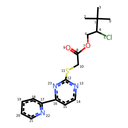 CC(C)(C)C(Cl)COC(=O)CSc1nccc(-c2ccccn2)n1